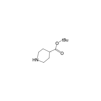 CC(C)(C)OC(=O)[C]1CCNCC1